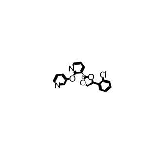 Clc1ccccc1C1CO[C@H](c2cccnc2Oc2cccnc2)O1